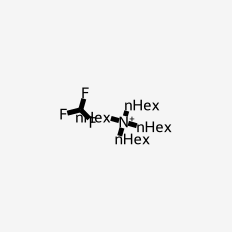 CCCCCC[N+](CCCCCC)(CCCCCC)CCCCCC.FC(F)F